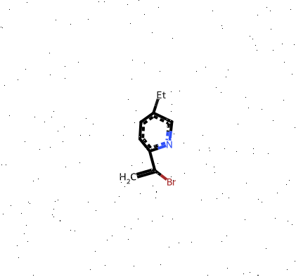 C=C(Br)c1ccc(CC)cn1